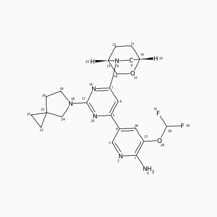 Nc1ncc(-c2cc(N3C[C@@H]4CC[C@H]3CO4)nc(N3CCC4(CC4)C3)n2)cc1OC(F)F